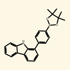 CC1(C)OB(c2ccc(-c3cccc4c3[nH]c3ccccc34)cc2)OC1(C)C